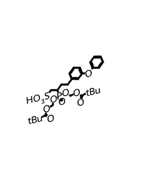 CC(C)(C)C(=O)OCOP(=O)(OCOC(=O)C(C)(C)C)C(CCc1cccc(Oc2ccccc2)c1)CS(=O)(=O)O